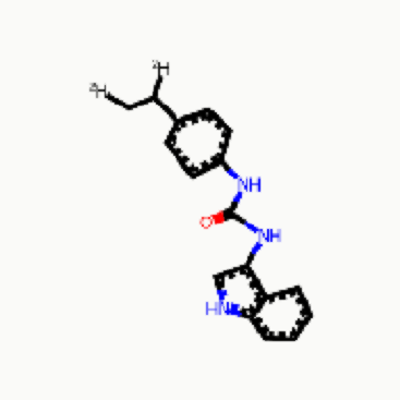 [2H]CC([2H])c1ccc(NC(=O)Nc2c[nH]c3ccccc23)cc1